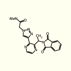 CNC(=O)Cn1cc(-c2nccnc2C(C)N2C(=O)c3ccccc3C2=O)nn1